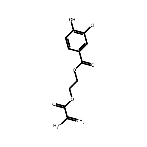 C=C(C)C(=O)OCCOC(=O)c1ccc(O)c(Cl)c1